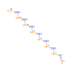 P=NPNPNPNPNPNPNP